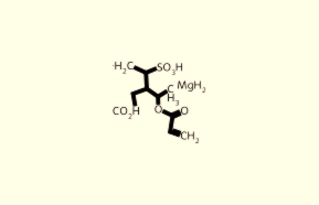 [CH2]C(C(CC(=O)O)C(C)OC(=O)C=C)S(=O)(=O)O.[MgH2]